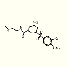 COc1ccc(S(=O)(=O)C2CCCN(C(=O)NCCN(C)C)C2)cc1Cl.Cl